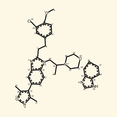 COc1ccc(CCc2nc3cc(-c4c(C)noc4C)ccc3n2CC(C)N2CCOCC2)cc1Cl.c1ccc2[nH]cnc2c1